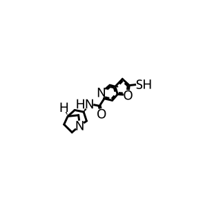 O=C(N[C@@H]1C[C@@H]2CCN(C2)C1)c1cc2oc(S)cc2cn1